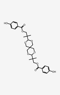 CC(C)(COC(=O)c1ccc(O)cc1)C1OCC2(CO1)COC(C(C)(C)COC(=O)c1ccc(O)cc1)OC2